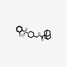 O=C(NCC1CCN(S(=O)(=O)c2ccccc2C(F)(F)F)CC1)C12CC3CC(CC(C3)C1)C2